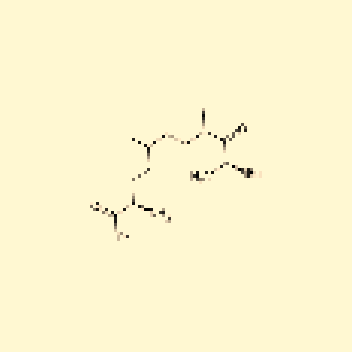 CCC(C)[C@@H](N)C(=O)C(C)CCC(C)CC[C@@H](N)C(=O)C(C)C